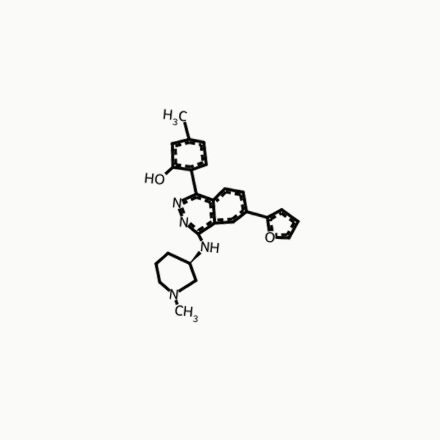 Cc1ccc(-c2nnc(N[C@@H]3CCCN(C)C3)c3cc(-c4ccco4)ccc23)c(O)c1